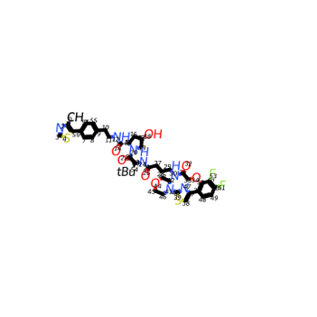 Cc1ncsc1-c1ccc(CCNC(=O)[C@@H]2C[C@H](O)CN2C(=O)[C@@H](NC(=O)CCCNC(=O)COc2c(-c3csc(N4CCOCC4)n3)ccc(F)c2F)C(C)(C)C)cc1